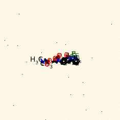 CN(C)CC(=O)OCC1CN(c2ccc3cc(-c4ccccc4C(F)(F)F)[nH]c(=O)c3c2)C(=O)O1